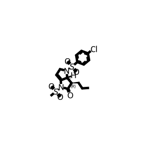 CCC[C@H]1C(=O)N(S(C)(=O)=O)C2=CCN(S(=O)(=O)c3ccc(Cl)cc3)[C@@H]21